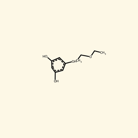 CCOCC.Oc1cc(O)cc(O)c1